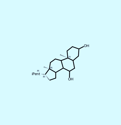 CCC[C@@H](C)[C@H]1CCC2C3C(O)CC4CC(O)CC[C@]4(C)C3CC[C@@]21C